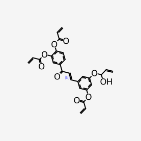 C=CC(=O)Oc1cc(/C=C/C(=O)c2ccc(OC(=O)C=C)c(OC(=O)C=C)c2)cc(OC(O)C=C)c1